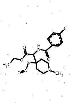 CCOC(=O)C(NC(=O)c1ccc(Cl)cc1)C1(SN=O)CCN(C)CC1